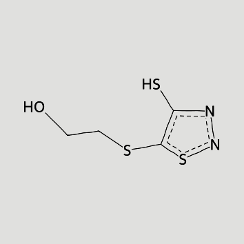 OCCSc1snnc1S